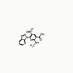 CNc1nc(-n2nnc3cccnc32)c([N+](=O)[O-])cc1C(=O)O